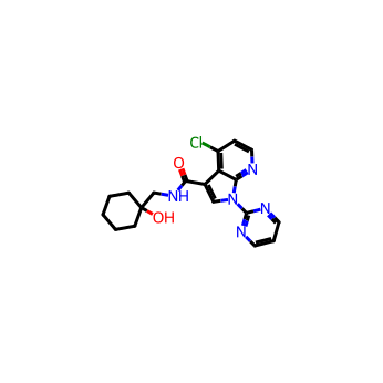 O=C(NCC1(O)CCCCC1)c1cn(-c2ncccn2)c2nccc(Cl)c12